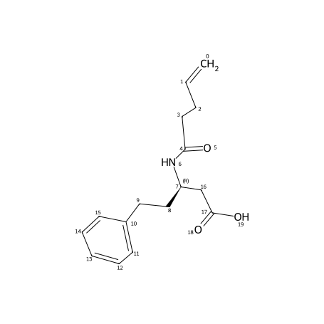 C=CCCC(=O)N[C@H](CCc1ccccc1)CC(=O)O